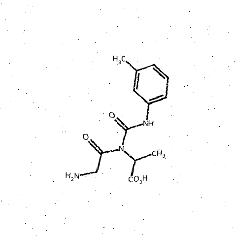 Cc1cccc(NC(=O)N(C(=O)CN)C(C)C(=O)O)c1